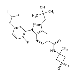 CC(C)(O)Cc1nn(-c2cc(OC(F)F)ccc2F)c2ncc(C(=O)NC3(C)CS(=O)(=O)C3)cc12